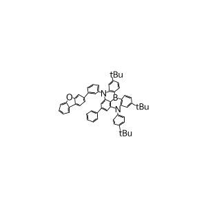 CC(C)(C)c1ccc(N2c3cc(C(C)(C)C)ccc3B3c4ccc(C(C)(C)C)cc4N(c4cccc(-c5ccc6c(c5)oc5ccccc56)c4)c4cc(-c5ccccc5)cc2c43)cc1